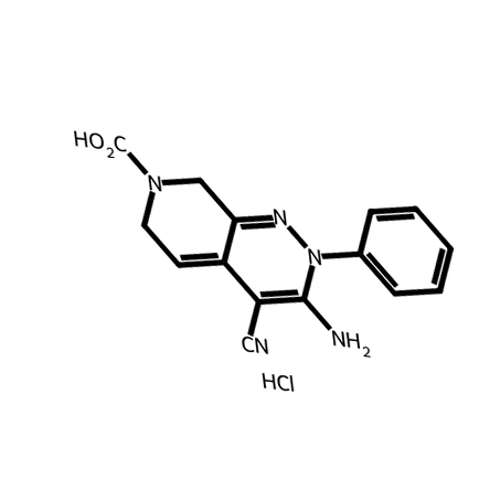 Cl.N#CC1=C(N)N(c2ccccc2)N=C2CN(C(=O)O)CC=C21